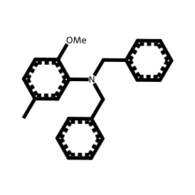 COc1ccc(C)cc1N(Cc1ccccc1)Cc1ccccc1